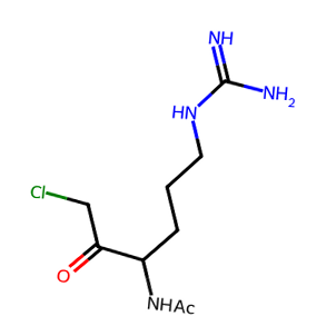 CC(=O)NC(CCCNC(=N)N)C(=O)CCl